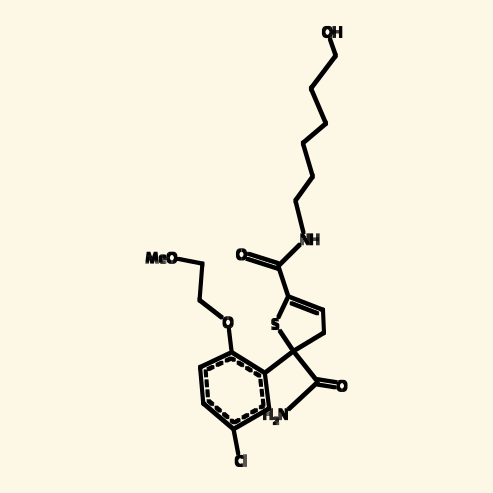 COCCOc1ccc(Cl)cc1C1(C(N)=O)CC=C(C(=O)NCCCCCCO)S1